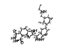 CCNCc1cncc(-c2cnc3[nH]nc(-c4nc5c(ccc6c(=O)[nH][nH]c(=O)c65)[nH]4)c3c2)c1C